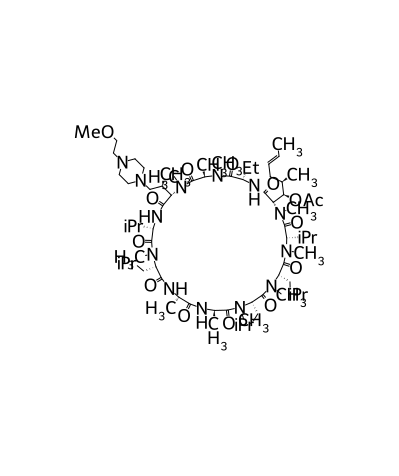 C/C=C/C[C@@H](C)[C@@H](OC(C)=O)[C@H]1C(=O)N[C@@H](CC)C(=O)N(C)[C@H](C)C(=O)N(C)[C@@H]([C@H](C)CN2CCN(CCOC)CC2)C(=O)N[C@@H](C(C)C)C(=O)N(C)[C@@H](CC(C)C)C(=O)N[C@@H](C)C(=O)N[C@H](C)C(=O)N(C)[C@@H](CC(C)C)C(=O)N(C)[C@@H](CC(C)C)C(=O)N(C)[C@@H](C(C)C)C(=O)N1C